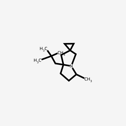 CC1CCC2(CC(C)(C)C)CC3(CC3)CN12